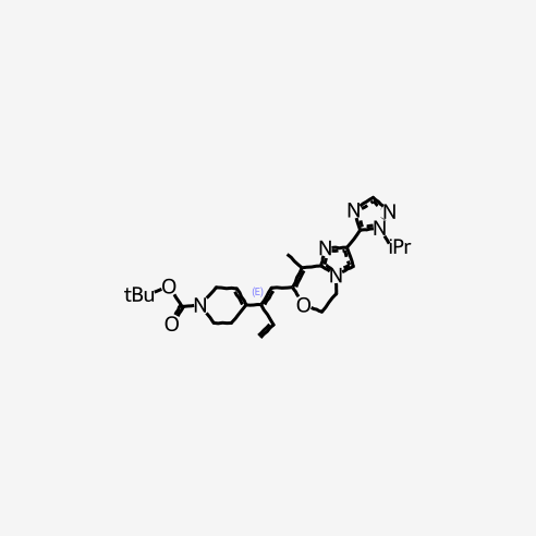 C=C/C(=C\C1=C(C)c2nc(-c3ncnn3C(C)C)cn2CCO1)C1=CCN(C(=O)OC(C)(C)C)CC1